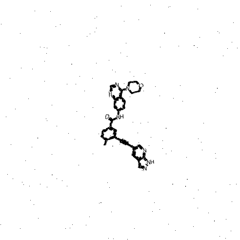 Cc1ccc(C(=O)Nc2ccc3c(N4CCOCC4)ncnc3c2)cc1C#Cc1cnc2[nH]ncc2c1